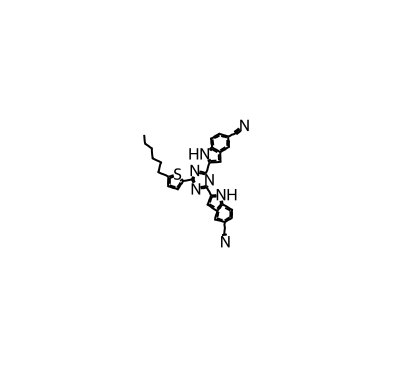 CCCCCCc1ccc(-c2nc(-c3cc4cc(C#N)ccc4[nH]3)nc(-c3cc4cc(C#N)ccc4[nH]3)n2)s1